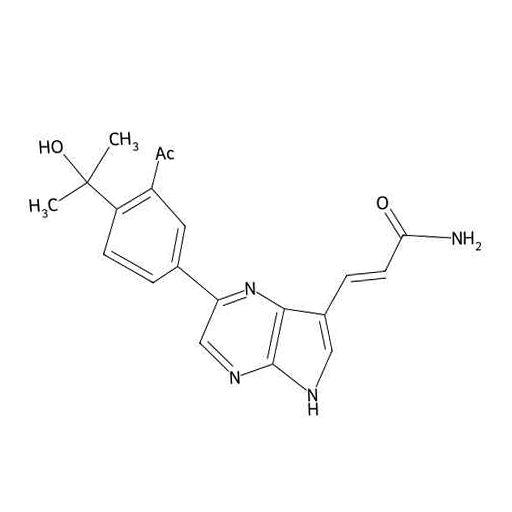 CC(=O)c1cc(-c2cnc3[nH]cc(/C=C/C(N)=O)c3n2)ccc1C(C)(C)O